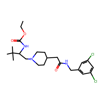 CCOC(=O)NC(CN1CCC(CC(=O)NCc2cc(Cl)cc(Cl)c2)CC1)C(C)(C)C